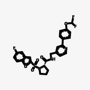 O=C(NCc1ccnc(-c2ccc(OC(F)F)cc2)c1)[C@@H]1CCCN1S(=O)(=O)c1cc2cc(F)ccc2o1